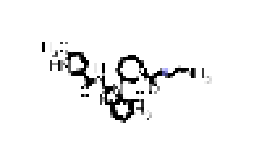 Cc1cccc2nc(NC(=O)C3=CNC(C)C=C3)n(C3CCCCN(C(=O)/C=C/CN)C3)c12